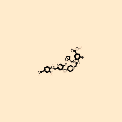 N#Cc1ccc(OCc2cc(OC3CCN(Cc4nc5c(F)cc(C(=O)O)cc5n4C[C@@H]4CCO4)CC3)c(F)cn2)c(F)c1